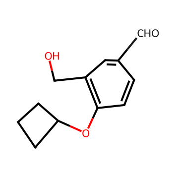 O=Cc1ccc(OC2CCC2)c(CO)c1